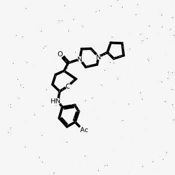 CC(=O)c1ccc(NC2CCC(C(=O)N3CCN(C4CCCC4)CC3)CC2)cc1